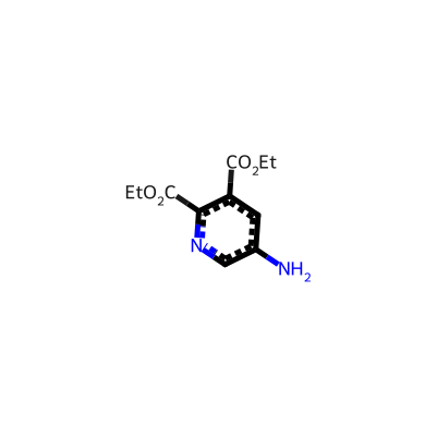 CCOC(=O)c1cc(N)cnc1C(=O)OCC